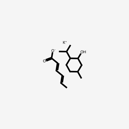 C/C=C/C=C/C(=O)[O-].CC1CCC(C(C)C)C(O)C1.[K+]